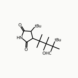 CC(C)(C)C1C(=O)NC(=O)C1C(C)(C)C(C)(C)C(C)(C=O)C(C)(C)C